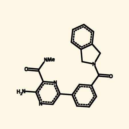 CNC(=O)c1nc(-c2cccc(C(=O)N3Cc4ccccc4C3)c2)cnc1N